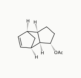 CC(=O)O[C@H]1CC[C@H]2[C@@H]1[C@H]1C=C[C@@H]2C1